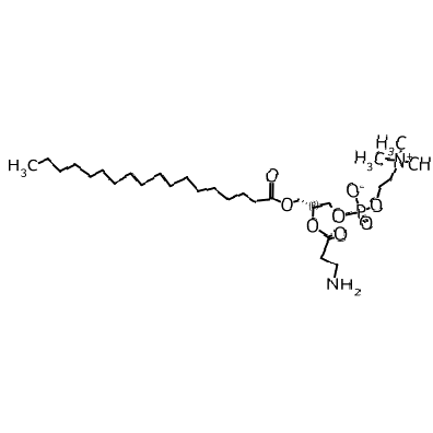 CCCCCCCCCCCCCCCCCC(=O)OC[C@H](COP(=O)([O-])OCC[N+](C)(C)C)OC(=O)CCN